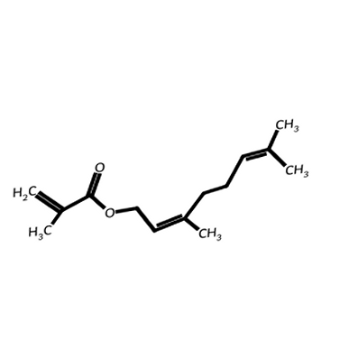 C=C(C)C(=O)OCC=C(C)CCC=C(C)C